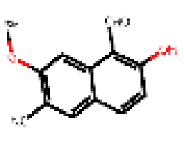 CC(C)Oc1cc2c(C=O)c(O)ccc2cc1C#N